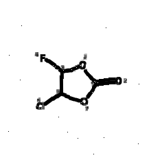 O=C1OC(F)C(Cl)O1